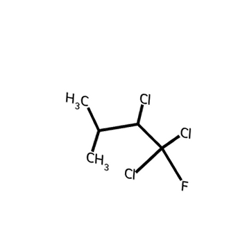 CC(C)C(Cl)C(F)(Cl)Cl